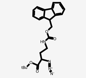 CC(C)(C)OC(=O)C(CCNC(=O)OCC1c2ccccc2-c2ccccc21)N=[N+]=[N-]